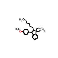 CCCCCCC1=C(c2ccc(OC)cc2)c2ccccc2C1(CC)CC